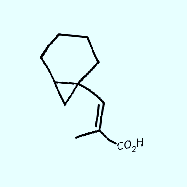 CC(=CC12CCCCC1C2)C(=O)O